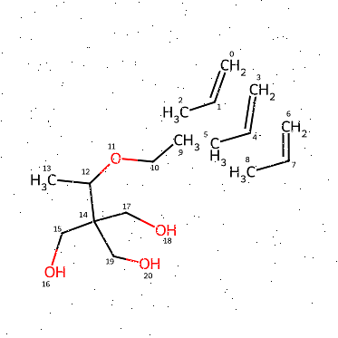 C=CC.C=CC.C=CC.CCOC(C)C(CO)(CO)CO